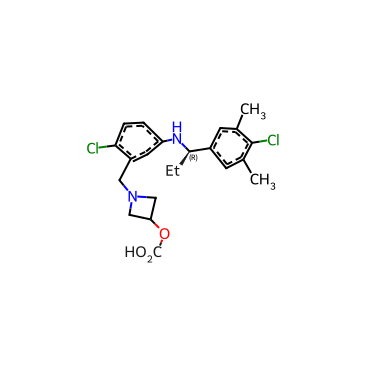 CC[C@@H](Nc1ccc(Cl)c(CN2CC(OC(=O)O)C2)c1)c1cc(C)c(Cl)c(C)c1